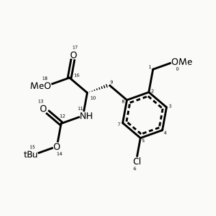 COCc1ccc(Cl)cc1C[C@H](NC(=O)OC(C)(C)C)C(=O)OC